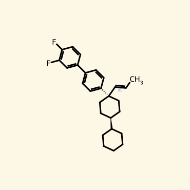 C/C=C/[C@]1(c2ccc(-c3ccc(F)c(F)c3)cc2)CC[C@H](C2CCCCC2)CC1